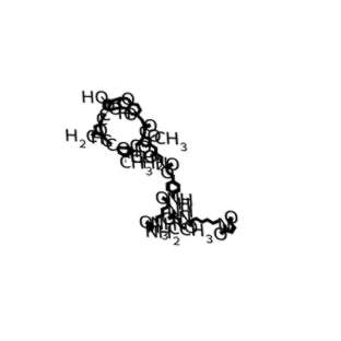 C=C1CC2CC[C@]34C[C@@H](O)C(O3)C3CC(O4)[C@H]4OC(CCC4O3)CC(=O)CC3C(C[C@H]4OC(CC[C@@H]1O2)C[C@@H](C)C4=C)OC(CC(O)CNC(=O)OCc1ccc(NC(=O)C(CCCNC(N)=O)NC(=O)[C@@H](NC(=O)CCCCCN2C(=O)C=CC2=O)C(C)C)cc1)[C@@H]3OC